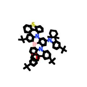 CC(C)(C)c1ccc2c(c1)B1c3ccc4c(oc5ccc(C(C)(C)C)cc54)c3N(c3ccc(C(C)(C)C)cc3-c3ccccc3)c3cc(N4c5ccc(C(C)(C)C)cc5C5(C)CCCCC45C)cc(c31)N2c1cccc2sc3ccccc3c12